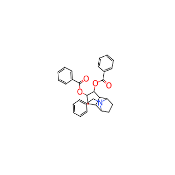 O=C(OC1CC2C(C1OC(=O)c1ccccc1)C1CCC2N1Cc1ccccc1)c1ccccc1